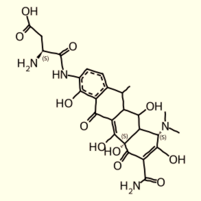 CC1c2ccc(NC(=O)[C@@H](N)CC(=O)O)c(O)c2C(=O)C2=C(O)[C@]3(O)C(=O)C(C(N)=O)=C(O)[C@@H](N(C)C)C3C(O)C21